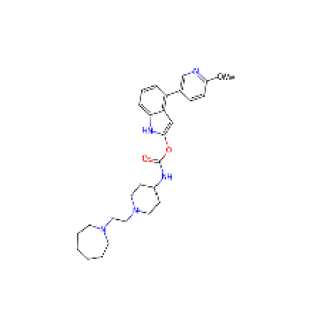 COc1ccc(-c2cccc3[nH]c(OC(=O)NC4CCN(CCN5CCCCCC5)CC4)cc23)cn1